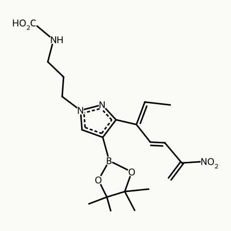 C=C(C=CC(=CC)c1nn(CCCNC(=O)O)cc1B1OC(C)(C)C(C)(C)O1)[N+](=O)[O-]